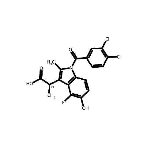 Cc1c([C@@H](C)C(=O)O)c2c(F)c(O)ccc2n1C(=O)c1ccc(Cl)c(Cl)c1